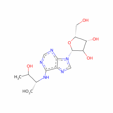 CC(O)[C@H](Nc1ncnc2c1ncn2[C@@H]1O[C@H](CO)[C@H](O)C1O)C(=O)O